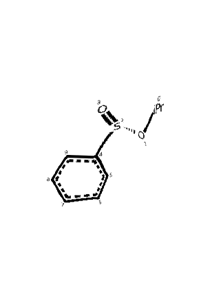 CC(C)O[S@@](=O)c1ccccc1